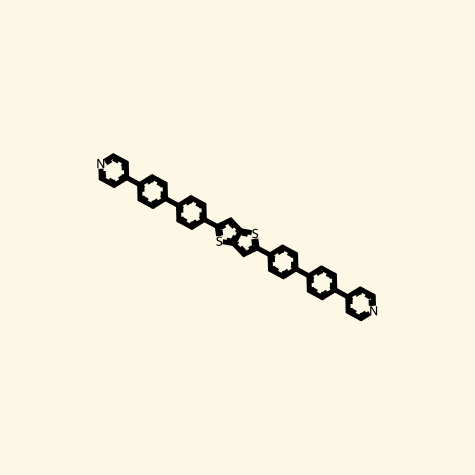 c1cc(-c2ccc(-c3ccc(-c4cc5sc(-c6ccc(-c7ccc(-c8ccncc8)cc7)cc6)cc5s4)cc3)cc2)ccn1